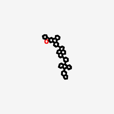 c1cc(-c2c3ccccc3c(-c3ccc4ccccc4c3)c3ccccc23)cc(-c2ccc3ccc4c(-c5ccc6c(c5)c5ccccc5c5cc7c(cc65)oc5ccccc57)ccc5ccc2c3c54)c1